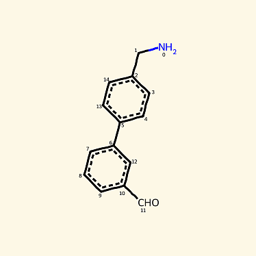 NCc1ccc(-c2cccc(C=O)c2)cc1